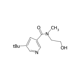 CN(CCO)C(=O)c1cncc(C(C)(C)C)c1